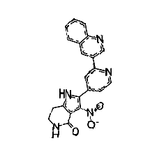 O=C1NCCc2[nH]c(-c3ccnc(-c4cnc5ccccc5c4)c3)c([N+](=O)[O-])c21